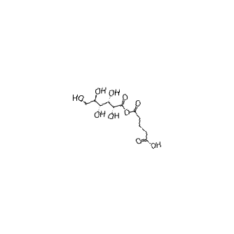 O=C(O)CCCC(=O)OC(=O)[C@H](O)[C@@H](O)[C@H](O)[C@H](O)CO